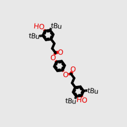 CC(C)(C)c1cc(CCC(=O)Oc2ccc(OC(=O)CCc3cc(C(C)(C)C)c(O)c(C(C)(C)C)c3)cc2)cc(C(C)(C)C)c1O